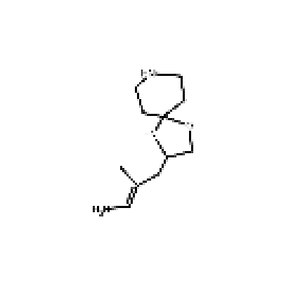 C/C(=C\N)CC1COC2(CCNCC2)N1